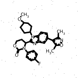 COC1CCC(n2c(C3CCOC(=O)N3c3ccc(F)cc3)nc3cc(-c4c(C)noc4C)ccc32)CC1